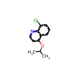 CC(C)Oc1ccnc2c(Cl)cccc12